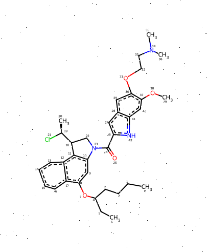 CCCCC(CC)Oc1cc2c(c3ccccc13)C([C@H](C)Cl)CN2C(=O)c1cc2cc(OCCN(C)C)c(OC)cc2[nH]1